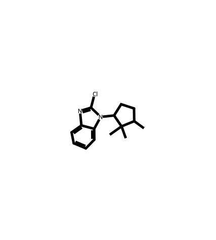 CC1CCC(n2c(Cl)nc3ccccc32)C1(C)C